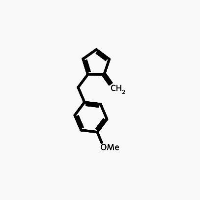 C=C1C=CC=C1Cc1ccc(OC)cc1